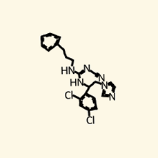 N#CN=C(NCCCc1ccccc1)NC(Cn1ccnc1)c1ccc(Cl)cc1Cl